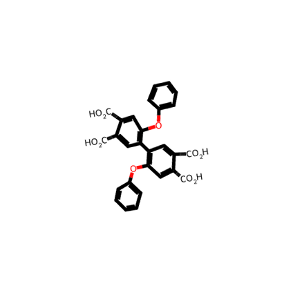 O=C(O)c1cc(Oc2ccccc2)c(-c2cc(C(=O)O)c(C(=O)O)cc2Oc2ccccc2)cc1C(=O)O